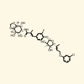 C/C(=C\c1ccc(O[C@@H]2O[C@H](/C(C)=C/COc3cccc(Cl)c3)[C@@H](O)[C@@]2(C)O)c(F)c1)C(=O)N[C@@H]1[C@H](O)[C@@H](O)[C@H]2OCO[C@H]2[C@@H]1O